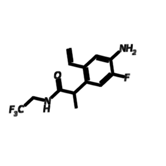 C=Cc1cc(N)c(F)cc1C(C)C(=O)NCC(F)(F)F